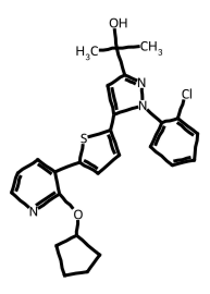 CC(C)(O)c1cc(-c2ccc(-c3cccnc3OC3CCCC3)s2)n(-c2ccccc2Cl)n1